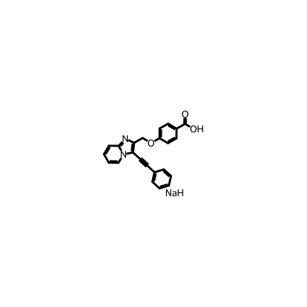 O=C(O)c1ccc(OCc2nc3ccccn3c2C#Cc2ccccc2)cc1.[NaH]